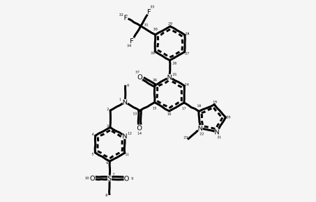 CN(Cc1ccc(S(C)(=O)=O)cn1)C(=O)c1cc(-c2ccnn2C)cn(-c2cccc(C(F)(F)F)c2)c1=O